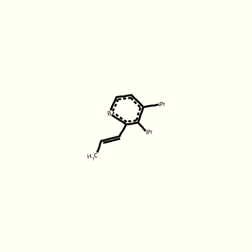 CC=Cc1bccc(C(C)C)c1C(C)C